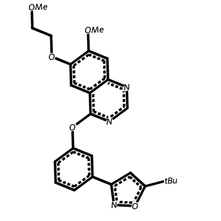 COCCOc1cc2c(Oc3cccc(-c4cc(C(C)(C)C)on4)c3)ncnc2cc1OC